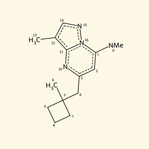 CNc1cc(CC2(C)CCC2)nc2c(C)cnn12